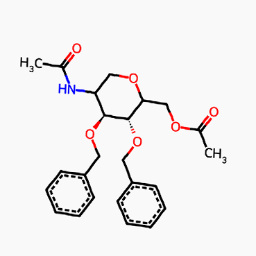 CC(=O)NC1COC(COC(C)=O)[C@H](OCc2ccccc2)[C@H]1OCc1ccccc1